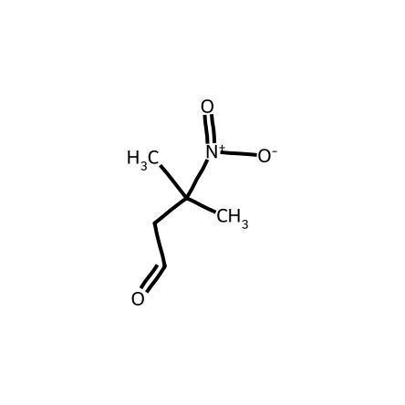 CC(C)(CC=O)[N+](=O)[O-]